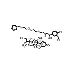 C[C@@H]1C[C@H]2[C@@H]3CCC4=CC(=O)C=C[C@]4(C)[C@@]3(F)[C@@H](O)C[C@]2(C)[C@@]1(O)C(=O)CO.OCc1cc(C(O)CNCCCCCCOCCCCc2ccccc2)ccc1O